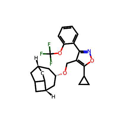 FC(F)(F)Oc1ccccc1-c1noc(C2CC2)c1CO[C@H]1C[C@H]2CC3C[C@@H](C1)C3C2